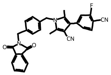 Cc1c(C#N)c(-c2ccc(C#N)c(F)c2)c(C)n1Cc1ccc(CN2C(=O)c3ccccc3C2=O)cc1